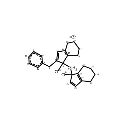 ClC1([SiH2]C2(Cl)C(Cc3ccccc3)=CC3=C2CCCC3)C=CC2=C1CCCC2.[Zr]